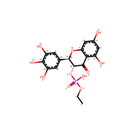 CCOP(=O)(O)O[C@H]1C(=O)c2c(O)cc(O)cc2O[C@@H]1c1cc(O)c(O)c(O)c1